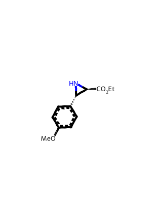 CCOC(=O)[C@@H]1N[C@H]1c1ccc(OC)cc1